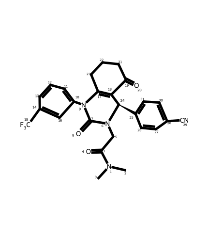 CN(C)C(=O)CN1C(=O)N(c2cccc(C(F)(F)F)c2)C2=C(C(=O)CCC2)[C@H]1c1ccc(C#N)cc1